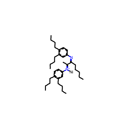 CCCCCC(=Nc1ccc(CCCC)c(CCCC)c1)C(C)=[N+]([Ni])c1ccc(CCCC)c(CCCC)c1